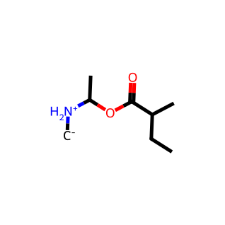 [CH2-][NH2+]C(C)OC(=O)C(C)CC